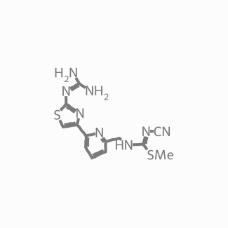 CSC(=NC#N)NCc1cccc(-c2csc(N=C(N)N)n2)n1